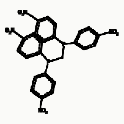 O=[N+]([O-])c1ccc(P(CP(c2ccc([N+](=O)[O-])cc2)c2ccc([N+](=O)[O-])cc2)c2ccc([N+](=O)[O-])cc2)cc1